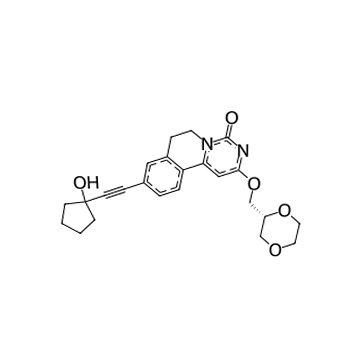 O=c1nc(OC[C@H]2COCCO2)cc2n1CCc1cc(C#CC3(O)CCCC3)ccc1-2